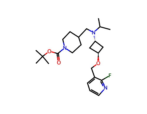 CC(C)N(CC1CCN(C(=O)OC(C)(C)C)CC1)[C@H]1C[C@H](OCc2cccnc2F)C1